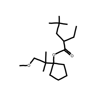 CCC(CC(C)(C)C)C(=O)OC1(C(C)(C)COC)CCCC1